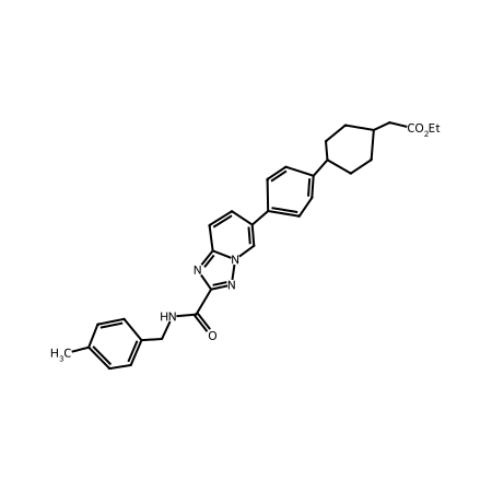 CCOC(=O)CC1CCC(c2ccc(-c3ccc4nc(C(=O)NCc5ccc(C)cc5)nn4c3)cc2)CC1